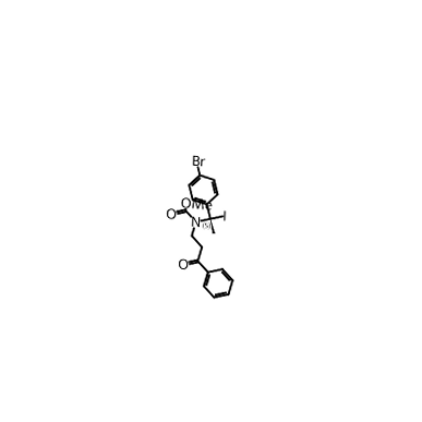 COC(=O)N(CCC(=O)c1ccccc1)[C@@](C)(I)c1ccc(Br)cc1